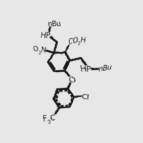 CCCCPCC1=C(Oc2ccc(C(F)(F)F)cc2Cl)C=CC(CPCCCC)([N+](=O)[O-])C1C(=O)O